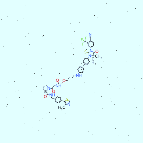 Cc1ncsc1-c1ccc(CNC(=O)[C@@H]2CCCN2C(=O)CNC(=O)COCCCCNc2ccc(-c3ccc(N4C(=S)N(c5ccc(C#N)c(C(F)(F)F)c5)C(=O)C4(C)C)cc3)cc2)cc1